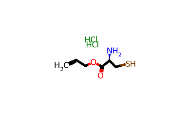 C=CCOC(=O)[C@@H](N)CS.Cl.Cl